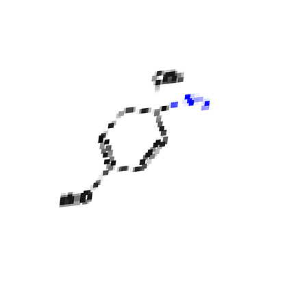 COC1=CCC(N)(OC)C=C1